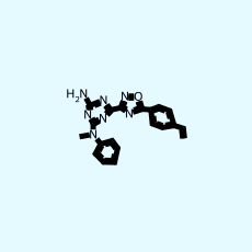 C=Cc1ccc(-c2nc(-c3nc(N)nc(N(C)c4ccccc4)n3)no2)cc1